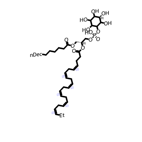 CC/C=C\C/C=C\C/C=C\C/C=C\C/C=C\C/C=C\CCC(=O)O[C@H](COC(=O)CCCCCCCCCCCCCCC)COP(=O)(O)OC1C(O)C(O)C(O)[C@@H](O)C1O